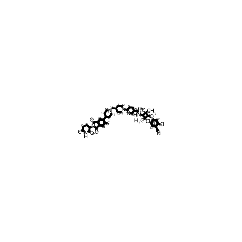 CC1(C)C(NC(=O)c2ccc(N3CCC(CN4CCC(c5cc6c(cc5F)C(=O)N(C5CCC(=O)NC5=O)C6=O)CC4)CC3)nc2)C(C)(C)C1Oc1ccc(C#N)c(Cl)c1